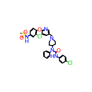 CS(=O)(=O)Nc1ccc(Oc2ccc(CN3CCC(N(C(=O)Nc4ccc(Cl)cc4)c4ccccc4)CC3)cn2)c(Cl)c1